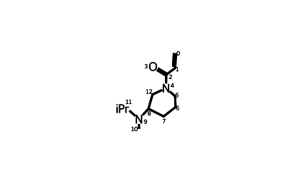 C=CC(=O)N1CCCC(N(C)C(C)C)C1